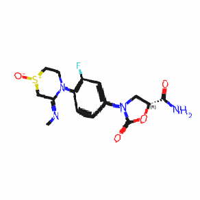 CN=C1C[S+]([O-])CCN1c1ccc(N2C[C@H](C(N)=O)OC2=O)cc1F